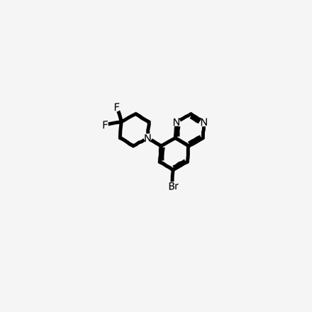 FC1(F)CCN(c2cc(Br)cc3cncnc23)CC1